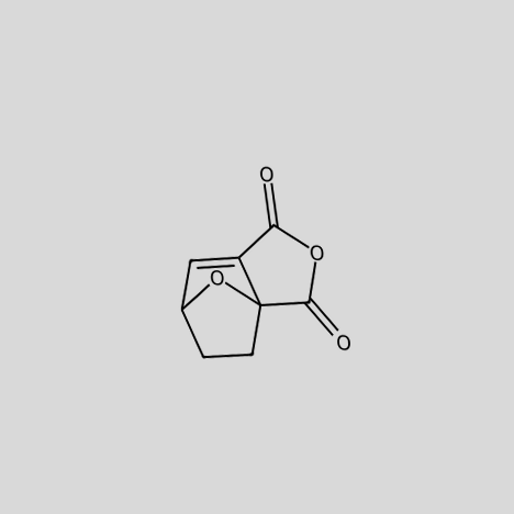 O=C1OC(=O)C23CCC(C=C12)O3